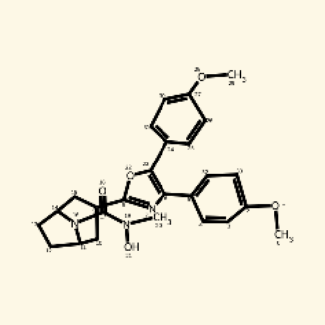 COc1ccc(-c2nc(C3CC4CCC(C3)N4C(=O)N(C)O)oc2-c2ccc(OC)cc2)cc1